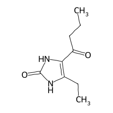 CCCC(=O)c1[nH]c(=O)[nH]c1CC